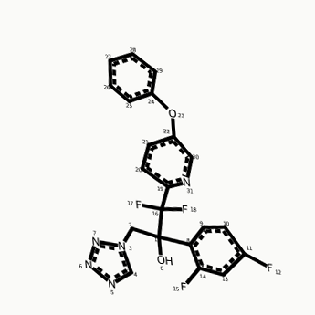 OC(Cn1cnnn1)(c1ccc(F)cc1F)C(F)(F)c1ccc(Oc2ccccc2)cn1